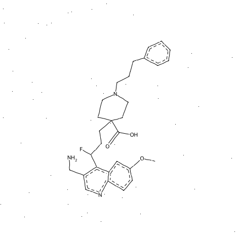 COc1ccc2ncc(CN)c(C(F)CCC3(C(=O)O)CCN(CCCc4ccccc4)CC3)c2c1